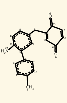 Cc1ccc(-c2cc(CC3=CC(=O)C=CC3=O)ccc2N)cc1